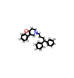 c1ccc(C(CCCN2CCc3oc4ccccc4c3C2)c2ccccc2)cc1